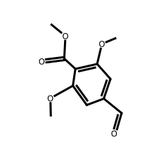 COC(=O)c1c(OC)cc(C=O)cc1OC